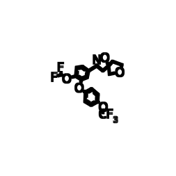 FC(F)Oc1ccc(C2=NOC3(CCOC3)C2)cc1Oc1ccc(OC(F)(F)F)cc1